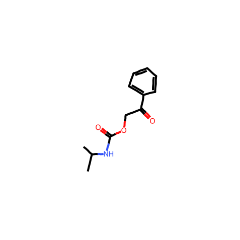 CC(C)NC(=O)OCC(=O)c1ccccc1